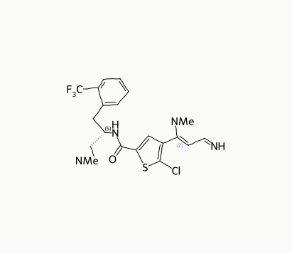 CNC[C@H](Cc1ccccc1C(F)(F)F)NC(=O)c1cc(/C(=C/C=N)NC)c(Cl)s1